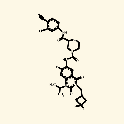 CC(C)n1c(=O)n(CC2CC(F)(F)C2)c(=O)c2cc(NC(=O)N3CCOC(C(=O)Nc4ccc(C#N)c(Cl)c4)C3)c(F)cc21